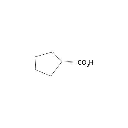 O=C(O)[C@H]1[CH]CCC1